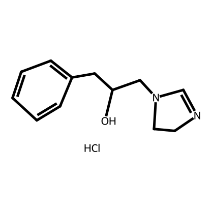 Cl.OC(Cc1ccccc1)CN1C=NCC1